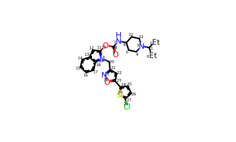 CCC(CC)N1CCC(NC(=O)Oc2cc3ccccc3n2Cc2cc(-c3ccc(Cl)s3)on2)CC1